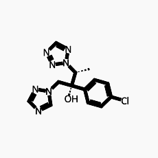 C[C@@H](n1ncnn1)[C@](O)(Cn1cncn1)c1ccc(Cl)cc1